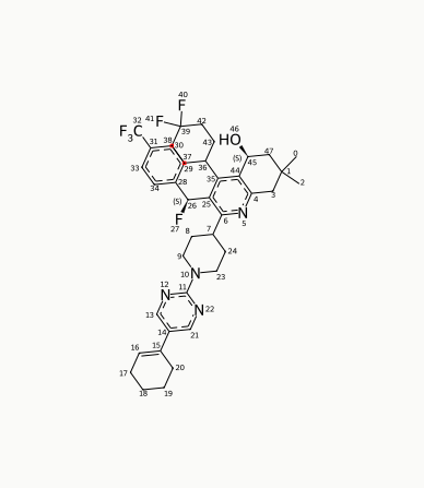 CC1(C)Cc2nc(C3CCN(c4ncc(C5=CCCCC5)cn4)CC3)c([C@@H](F)c3ccc(C(F)(F)F)cc3)c(C3CCC(F)(F)CC3)c2[C@@H](O)C1